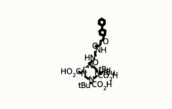 CC(C)(C)C(C(=O)O)N1CCN(CC(=O)O)CCN(CC(=O)NCCNC(=O)CCC(=O)c2ccc(-c3ccccc3)cc2)CCN(C(C(=O)O)(C(C)(C)C)C(C)(C)C)CC1